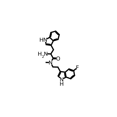 CN(CCc1c[nH]c2ccc(F)cc12)C(=O)C(N)Cc1c[nH]c2ccccc12